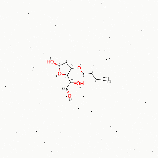 CCCCOC1C[C@H](O)O[C@@H]1[C@@H](O)C=O